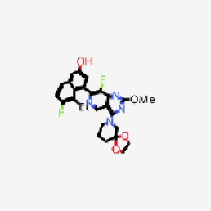 CCc1c(F)ccc2cc(O)cc(-c3ncc4c(N5CCCC6(C5)OCCO6)nc(OC)nc4c3F)c12